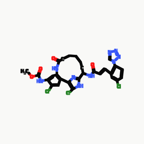 COC(=O)Nc1cc2c(cc1Cl)-c1nc([nH]c1Cl)C(NC(=O)C=Cc1cc(Cl)ccc1-n1cnnn1)CCCCCC(=O)N2